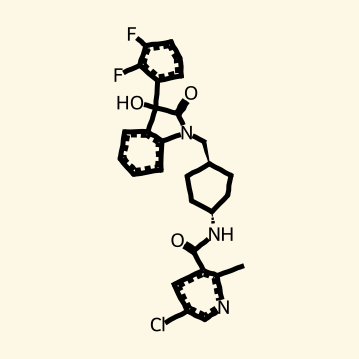 Cc1ncc(Cl)cc1C(=O)N[C@H]1CC[C@H](CN2C(=O)C(O)(c3cccc(F)c3F)c3ccccc32)CC1